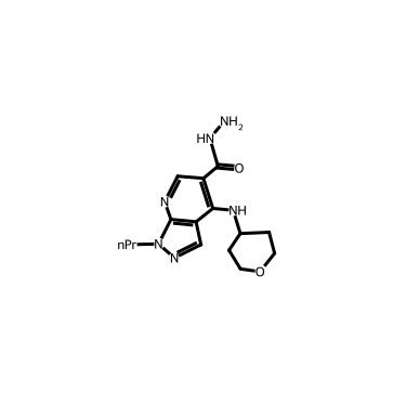 CCCn1ncc2c(NC3CCOCC3)c(C(=O)NN)cnc21